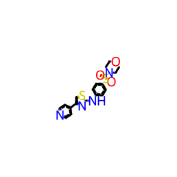 O=S(=O)(c1ccc(Nc2nc(-c3ccncc3)cs2)cc1)N1CCOCC1